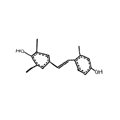 Cc1cc(O)ccc1/C=C/c1cc(C)c(O)c(C)c1